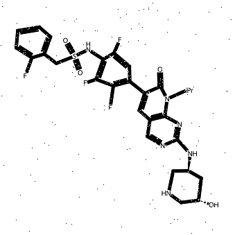 CC(C)n1c(=O)c(-c2cc(F)c(NS(=O)(=O)Cc3ccccc3F)c(F)c2F)cc2cnc(N[C@@H]3CNC[C@@H](O)C3)nc21